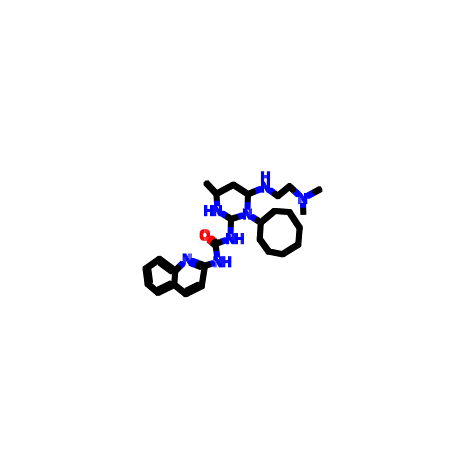 CC1CC(NCCN(C)C)N(C2CCCCCCC2)C(NC(=O)Nc2ccc3ccccc3n2)N1